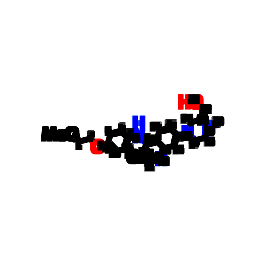 COCCOc1ccc(Nc2ccnc3cc(N4CCN(C)[C@@H](CO)C4)ccc23)c(OC)c1